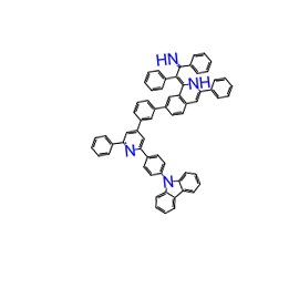 N=C(/C(=C1\NC(c2ccccc2)=Cc2ccc(-c3cccc(-c4cc(-c5ccccc5)nc(-c5ccc(-n6c7ccccc7c7ccccc76)cc5)c4)c3)cc21)c1ccccc1)c1ccccc1